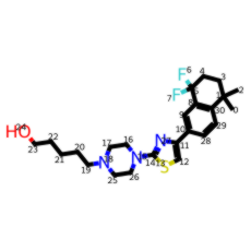 CC1(C)CCC(F)(F)c2cc(-c3csc(N4CCN(CCCCCO)CC4)n3)ccc21